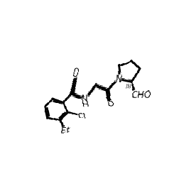 CCc1cccc(C(=O)NCC(=O)N2CCC[C@H]2C=O)c1Cl